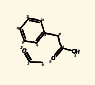 CC=O.O=C(O)Cc1ccccc1